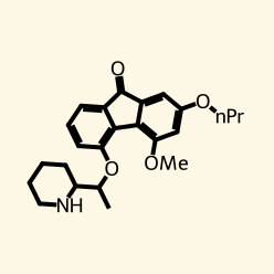 CCCOc1cc(OC)c2c(c1)C(=O)c1cccc(OC(C)C3CCCCN3)c1-2